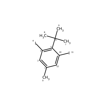 Cc1cc(I)c(C(C)(C)C)c(I)c1